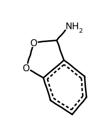 NC1OOc2ccccc21